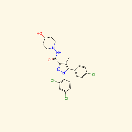 Cc1c(C(=O)NN2CCC(O)CC2)nn(-c2ccc(Cl)cc2Cl)c1-c1ccc(Cl)cc1